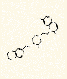 COc1cnc2ccc(=O)n(CCN3CC[C@@H](NCc4cc5c(cn4)OCCO5)[C@H](O)C3)c2c1